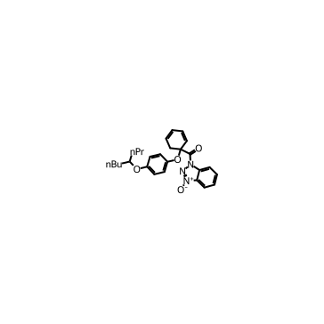 CCCCC(CCC)Oc1ccc(OC2(C(=O)n3n[n+]([O-])c4ccccc43)C=CC=CC2)cc1